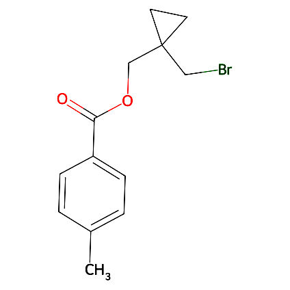 Cc1ccc(C(=O)OCC2(CBr)CC2)cc1